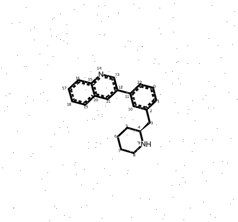 c1cc(C[C@@H]2CCCCN2)cc(-c2cnc3ccccc3c2)c1